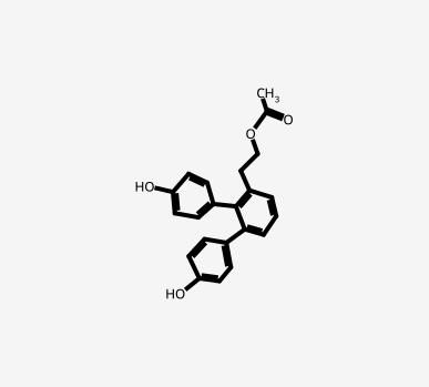 CC(=O)OCCc1cccc(-c2ccc(O)cc2)c1-c1ccc(O)cc1